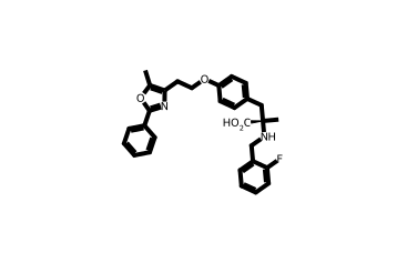 Cc1oc(-c2ccccc2)nc1CCOc1ccc(C[C@](C)(NCc2ccccc2F)C(=O)O)cc1